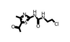 CC(=O)c1sc(NC(=O)NCCCl)nc1C